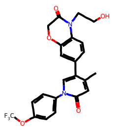 Cc1cc(=O)n(-c2ccc(OC(F)(F)F)cc2)cc1-c1ccc2c(c1)OCC(=O)N2CCO